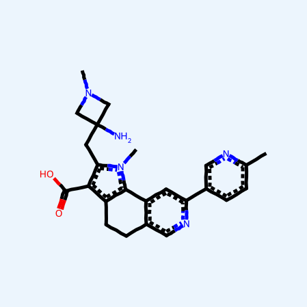 Cc1ccc(-c2cc3c(cn2)CCc2c(C(=O)O)c(CC4(N)CN(C)C4)n(C)c2-3)cn1